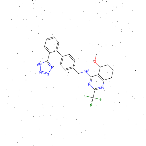 COC1CCCc2nc(C(F)(F)F)nc(NCc3ccc(-c4ccccc4-c4nnn[nH]4)cc3)c21